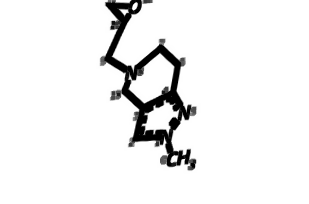 Cn1cc2c(n1)CCN(CC1CO1)C2